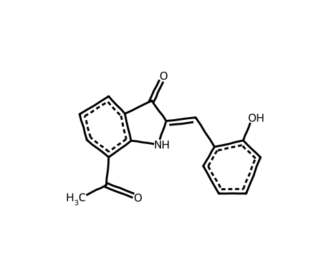 CC(=O)c1cccc2c1NC(=Cc1ccccc1O)C2=O